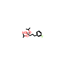 CC(C)O[Si](O)(CCCc1cccc(F)c1)OC(C)C